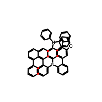 C1=c2cccc(-c3ccccc3)c2=C(c2ccccc2N(c2ccc3c(c2)c2ccccc2n3-c2ccccc2)c2ccccc2-c2ccc3c(c2)oc2ccccc23)CC1